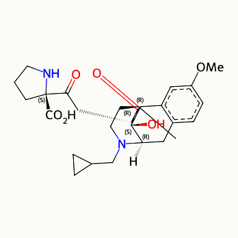 COc1ccc2c(c1)[C@]13CCN(CC4CC4)[C@H](C2)[C@]1(O)C[C@H](CC(=O)[C@]1(C(=O)O)CCCN1)C(=O)C3